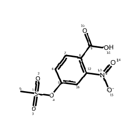 CS(=O)(=O)Oc1ccc(C(=O)O)c([N+](=O)[O-])c1